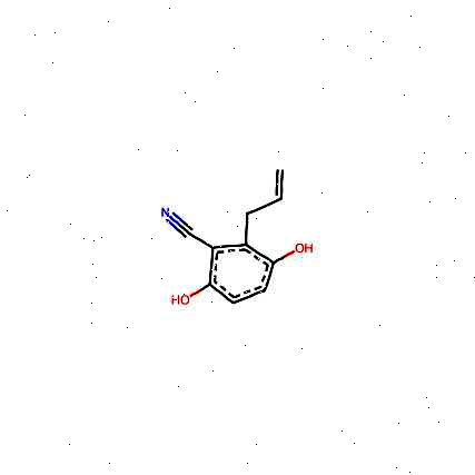 C=CCc1c(O)ccc(O)c1C#N